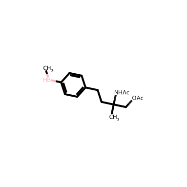 CBc1ccc(CCC(C)(COC(C)=O)NC(C)=O)cc1